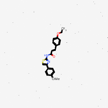 COc1ccc(-c2csc(NC(=O)C=Cc3ccc(OCC(F)(F)F)cc3)n2)cc1